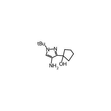 CC(C)(C)n1cc(N)c(C2(O)CCCC2)n1